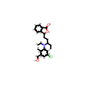 CCC(CCC1OC(=O)c2ccccc21)N(CC)c1cc(Cl)cc(C=O)c1C